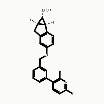 CCOC(=O)[C@H]1[C@@H]2Cc3cc(OCc4cccc(-c5ccc(F)nc5C)c4)ccc3[C@@H]21